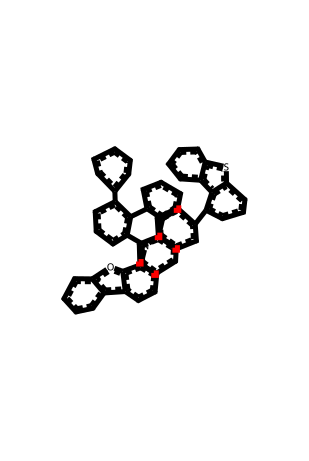 c1ccc(-c2ccccc2-c2c(-c3ccccc3)cccc2N(c2ccc(-c3cccc4sc5ccccc5c34)cc2)c2cccc3c2oc2ccccc23)cc1